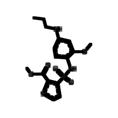 CCCNc1ccc(NS(=O)(=O)c2ccsc2C(=O)OC)c(OC)c1